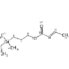 C=C[Si](C)(C)CCCOC(=O)C=CC